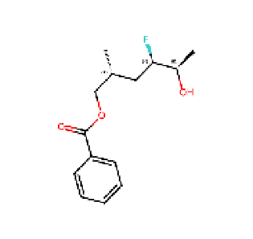 C[C@@H](COC(=O)c1ccccc1)C[C@@H](F)[C@@H](C)O